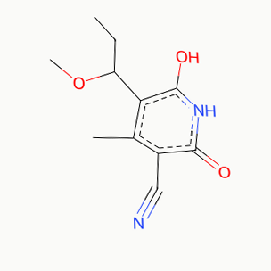 CCC(OC)c1c(O)[nH]c(=O)c(C#N)c1C